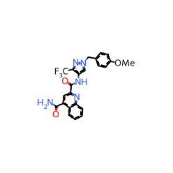 COc1ccc(Cn2cc(NC(=O)c3cc(C(N)=O)c4ccccc4n3)c(C(F)(F)F)n2)cc1